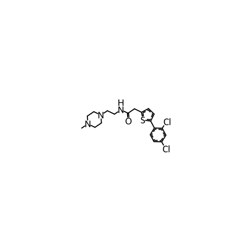 CN1CCN(CCNC(=O)Cc2ccc(-c3ccc(Cl)cc3Cl)s2)CC1